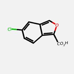 O=C(O)c1occ2cc(Cl)ccc12